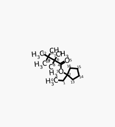 CCC1(OC(=O)C(C)(C)C(C)(C)C)CCCC1